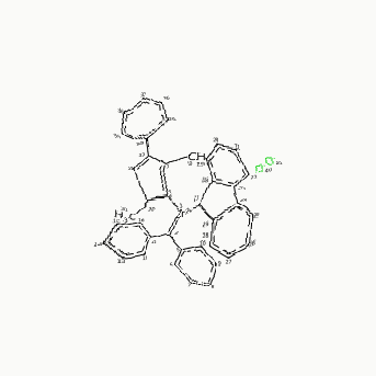 CC1=[C]([Zr+2](=[C](c2ccccc2)c2ccccc2)[CH]2c3ccccc3-c3ccccc32)C(C)C=C1c1ccccc1.[Cl-].[Cl-]